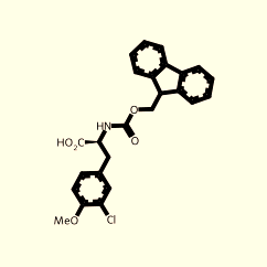 COc1ccc(C[C@H](NC(=O)OCC2c3ccccc3-c3ccccc32)C(=O)O)cc1Cl